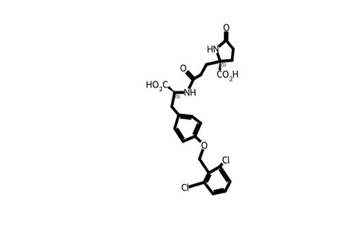 O=C(CC[C@@]1(C(=O)O)CCC(=O)N1)N[C@@H](Cc1ccc(OCc2c(Cl)cccc2Cl)cc1)C(=O)O